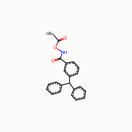 CCCCC(=O)ONC(=O)c1cccc(C(c2ccccc2)c2ccccc2)c1